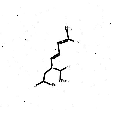 CCCCCC(CC)N(/C=C/C=C(/N)C#N)CC(CC)CCCC